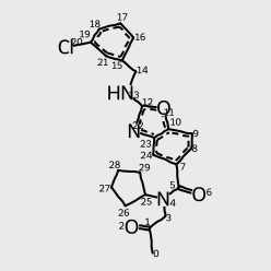 CC(=O)CN(C(=O)c1ccc2oc(NCc3cccc(Cl)c3)nc2c1)C1CCCC1